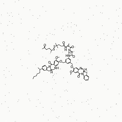 CCCCCC(C)c1ccc2c(c1)C[C@H]1CNc3cc(OCc4cc(COc5cc6c(cc5OC)C(=O)N5c7ccccc7C[C@H]5C=N6)cc(NC(=O)[C@@H](C)NC(=O)[C@H](C)NC(=O)CCC(C)(C)SSC(C)CCC(C)=O)c4)c(OC)cc3C(=O)N21